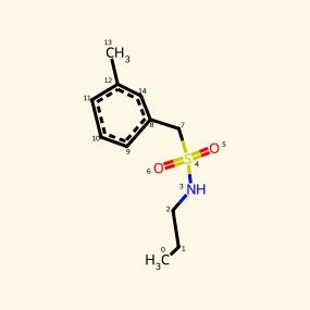 CCCNS(=O)(=O)Cc1cccc(C)c1